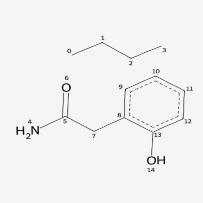 CCCC.NC(=O)Cc1ccccc1O